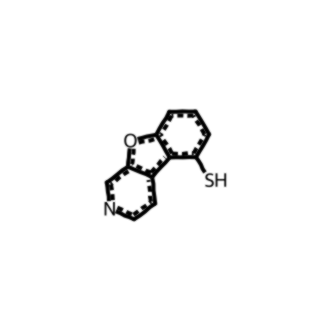 Sc1cccc2oc3cnccc3c12